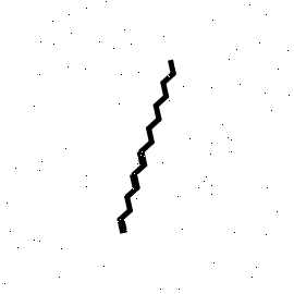 C=CCCC=CC=CCCCCCCCC